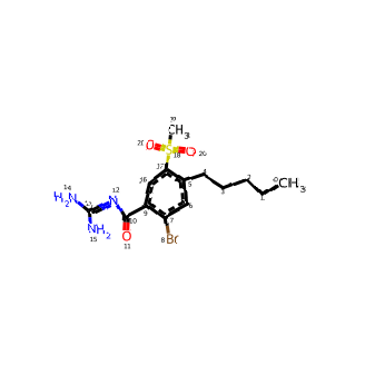 CCCCCc1cc(Br)c(C(=O)N=C(N)N)cc1S(C)(=O)=O